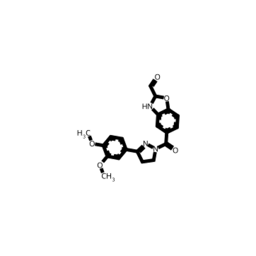 COc1ccc(C2=NN(C(=O)c3ccc4c(c3)NC(C=O)O4)CC2)cc1OC